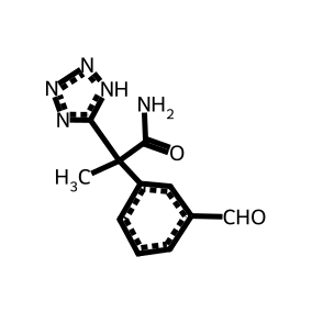 CC(C(N)=O)(c1cccc(C=O)c1)c1nnn[nH]1